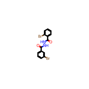 O=C(NNC(=O)c1ccccc1Br)c1cccc(Br)c1